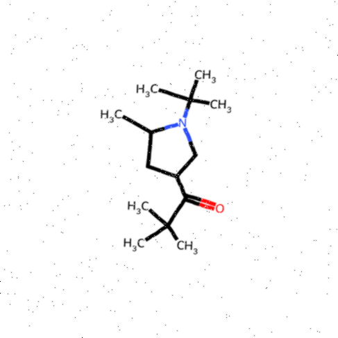 CC1CC(C(=O)C(C)(C)C)CN1C(C)(C)C